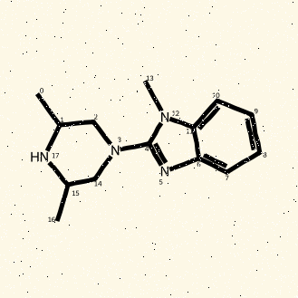 CC1CN(c2nc3ccccc3n2C)CC(C)N1